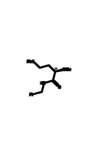 CO[C@H](CCSC)C(=O)NCC(C)C